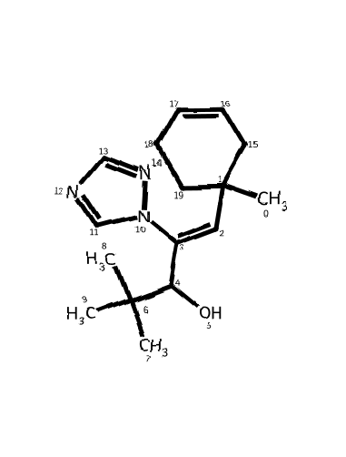 CC1(C=C(C(O)C(C)(C)C)n2cncn2)CC=CCC1